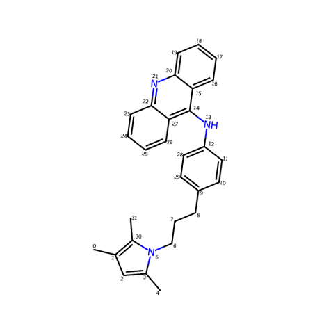 Cc1cc(C)n(CCCc2ccc(Nc3c4ccccc4nc4ccccc34)cc2)c1C